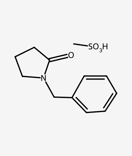 CS(=O)(=O)O.O=C1CCCN1Cc1ccccc1